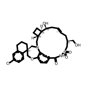 O=C1NS(=O)(=O)C[C@H](CO)C/C=C/C[C@H](O)[C@@H]2CC[C@H]2CN2C[C@@]3(CCCc4cc(Cl)ccc43)COc3ccc1cc32